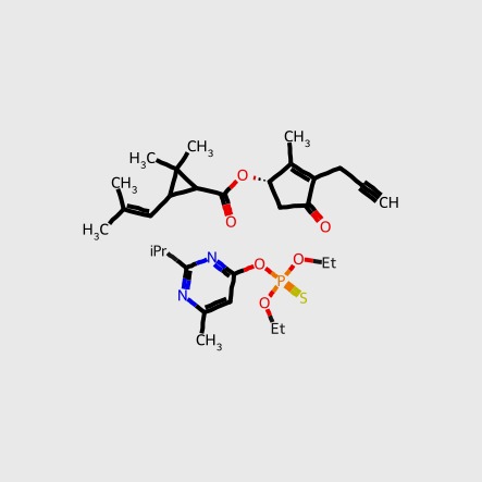 C#CCC1=C(C)[C@@H](OC(=O)C2C(C=C(C)C)C2(C)C)CC1=O.CCOP(=S)(OCC)Oc1cc(C)nc(C(C)C)n1